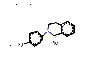 O=N[C@H]1c2ccccc2CCN1c1ccc(C(F)(F)F)cc1